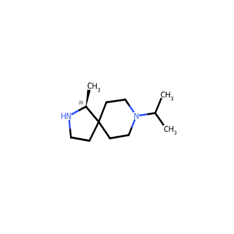 CC(C)N1CCC2(CCN[C@H]2C)CC1